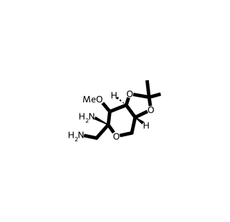 COC1[C@H]2OC(C)(C)O[C@@H]2CO[C@]1(N)CN